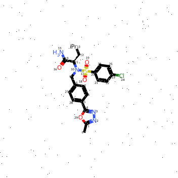 Cc1nnc(-c2ccc(CN([C@H](CC(C)C)C(N)=O)S(=O)(=O)c3ccc(Cl)cc3)cc2)o1